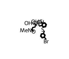 CNC(=O)CCC(C=O)N(C)Cc1c(C=O)cccc1SCc1cccc(CBr)c1